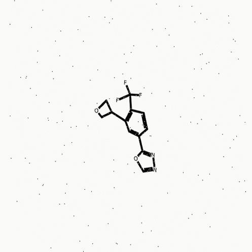 FC(F)(F)c1ccc(-c2nnco2)cc1C1COC1